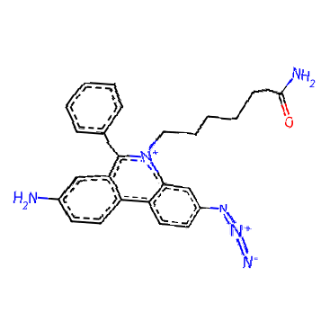 [N-]=[N+]=Nc1ccc2c3ccc(N)cc3c(-c3ccccc3)[n+](CCCCCC(N)=O)c2c1